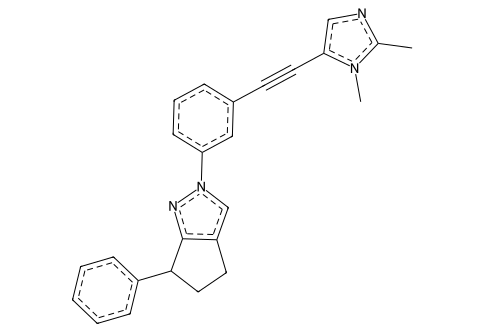 Cc1ncc(C#Cc2cccc(-n3cc4c(n3)C(c3ccccc3)CC4)c2)n1C